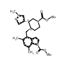 Cc1cc(C)c2c(ccn2C(=O)OC(C)(C)C)c1C[C@@H]1CCN(C(=O)OC(C)(C)C)C[C@H]1c1cnn(C)c1